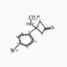 O=C1CC(NC(=O)O)(c2ccc(Br)cc2)C1